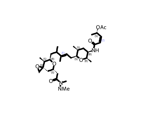 CNN(C)C(=O)C[C@@H]1C[C@@]2(CO2)[C@@H](C)[C@@H](CC(C)/C(C)=C/C[C@@H]2O[C@H](C)[C@H](NC(=O)/C=C\[C@H](C)OC(C)=O)C[C@@H]2C)O1